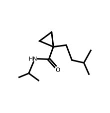 CC(C)CCC1(C(=O)NC(C)C)CC1